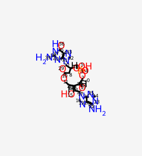 C[C@@H]1OP(=O)(O)O[C@@H]2CC(OCC[C@H]3[C@@H](O)[C@H](n4cnc5c(N)ncnc54)O[C@H]31)O[C@H]2n1cnc2c(=O)[nH]c(N)nc21